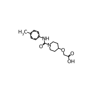 Cc1ccc(NC(=O)N2CCC(OCC(=O)O)CC2)cc1